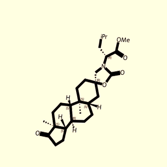 COC(=O)[C@@H](CC(C)C)N1C[C@]2(CC[C@@]3(C)[C@@H](CC[C@@H]4[C@@H]3CC[C@]3(C)C(=O)CC[C@@H]43)C2)OC1=O